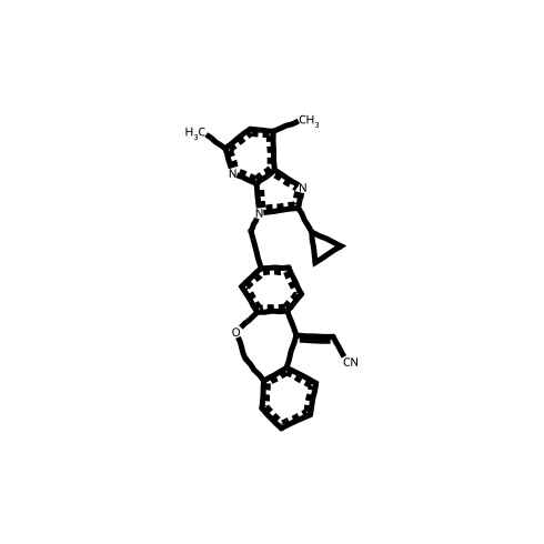 Cc1cc(C)c2nc(C3CC3)n(Cc3ccc4c(c3)OCc3ccccc3C4=CC#N)c2n1